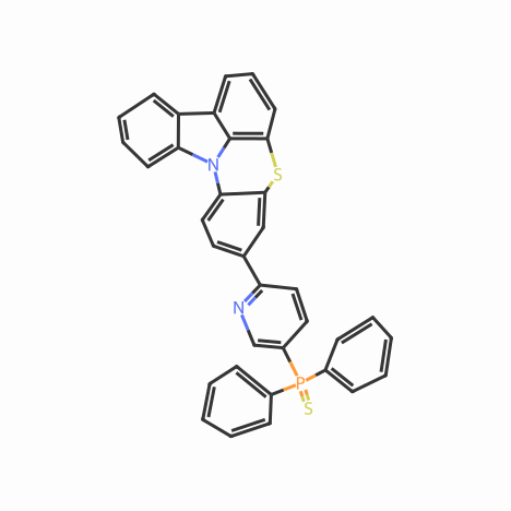 S=P(c1ccccc1)(c1ccccc1)c1ccc(-c2ccc3c(c2)Sc2cccc4c5ccccc5n-3c24)nc1